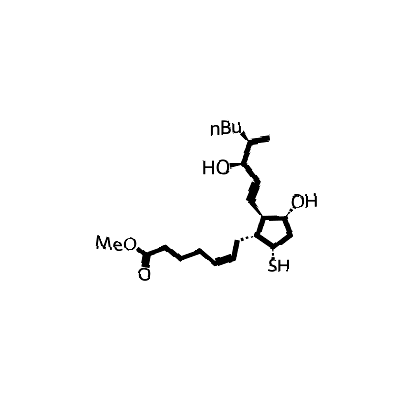 CCCC[C@@H](C)[C@H](O)/C=C/[C@@H]1[C@@H](C/C=C\CCCC(=O)OC)[C@@H](S)C[C@H]1O